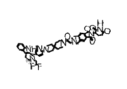 C[C@@H]1Cc2c([nH]c3ccccc23)[C@@H](c2ccc(N3CCC4(CCN(C(=O)CN5Cc6cc7c(cc6C5)C(=O)N(C5CCC(=O)NC5=O)C7=O)CC4)CC3)nc2)N1CC(F)F